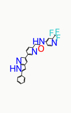 O=C(Cc1ccc(-c2cnc3[nH]c(-c4ccccc4)cc3c2)cn1)Nc1ccnc(C(F)(F)F)c1